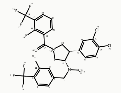 CN(Cc1ccc(C(F)(F)F)c(F)c1)[C@@H]1CN(C(=O)c2cccc(C(F)(F)F)c2F)C[C@@H]1c1ccc(Cl)c(Cl)c1